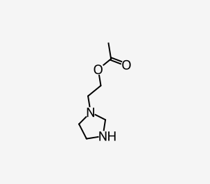 CC(=O)OCCN1CCNC1